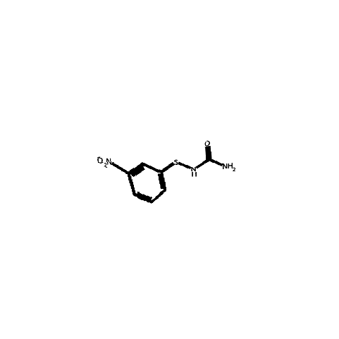 NC(=O)NSc1cccc([N+](=O)[O-])c1